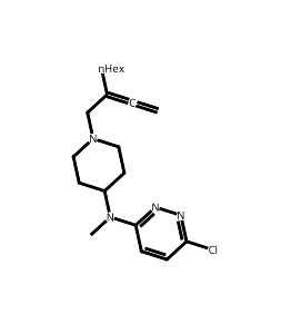 C=C=C(CCCCCC)CN1CCC(N(C)c2ccc(Cl)nn2)CC1